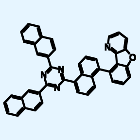 c1ccc2cc(-c3nc(-c4ccc5ccccc5c4)nc(-c4cccc5c(-c6cccc7oc8cccnc8c67)cccc45)n3)ccc2c1